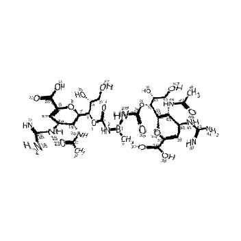 CB(NC(=O)O[C@@H]([C@@H]1OC(C(=O)O)=C[C@H](NC(=N)N)[C@H]1NC(C)=O)[C@H](O)CO)NC(=O)O[C@@H]([C@@H]1OC(C(=O)O)=C[C@H](NC(=N)N)[C@H]1NC(C)=O)[C@H](O)CO